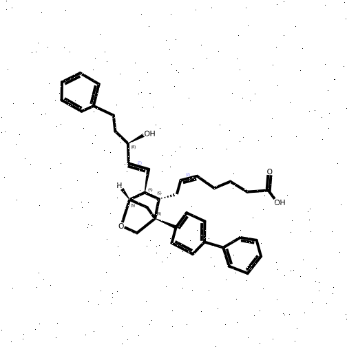 O=C(O)CCC/C=C\C[C@H]1[C@H](/C=C/[C@H](O)CCc2ccccc2)[C@@H]2C[C@@]1(c1ccc(-c3ccccc3)cc1)CO2